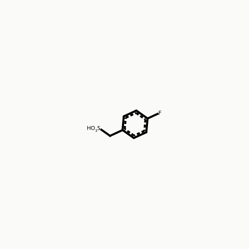 O=S(=O)(O)[CH]c1ccc(F)cc1